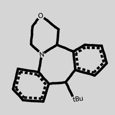 CC(C)(C)C1c2ccccc2C2COCCN2c2ccccc21